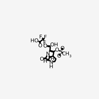 CS(=O)(=O)OC1=C(C(=O)O)N2C(=O)[C@H]3NCCC1[C@H]32.O=C(O)C(F)(F)F